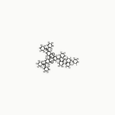 c1ccc(-c2ccc(-c3c4ccccc4c(-c4cc5c6c(c4)Oc4cc(N(c7ccccc7)c7ccccc7)ccc4B6c4ccc(N(c6ccccc6)c6ccccc6)cc4O5)c4ccccc34)c3ccccc23)cc1